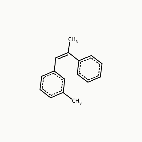 CC(=Cc1cccc(C)c1)c1ccccc1